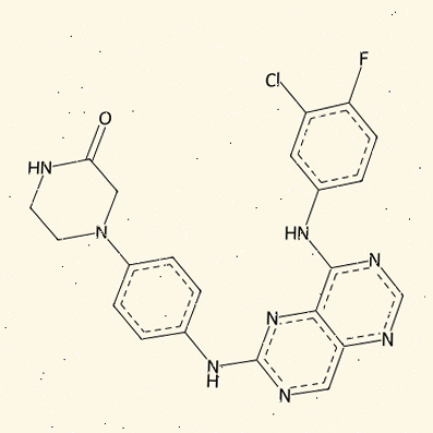 O=C1CN(c2ccc(Nc3ncc4ncnc(Nc5ccc(F)c(Cl)c5)c4n3)cc2)CCN1